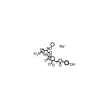 Nc1nc(/C(=N/OC2CCCC2)C(=O)N[C@@H]2C(=O)N3C(C(=O)[O-])=C(/C=C4\CCN(c5ccc(O)cc5)C4=O)CC[C@H]23)cs1.[Na+]